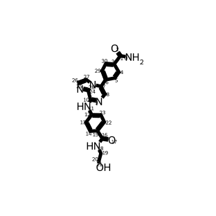 NC(=O)c1ccc(-c2cnc(Nc3ccc(C(=O)NCCO)cc3)c3nccn23)cc1